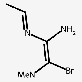 C/C=N/C(N)=C(/Br)NC